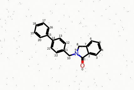 O=C1c2ccccc2CN1Cc1ccc(-c2ccccc2)cc1